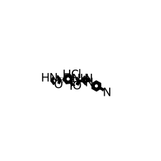 Cl.N#Cc1ccc(-n2cc(C(=O)Nc3ccc([C@H]4CNCCO4)cc3F)cn2)cc1